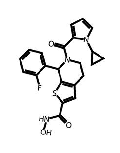 O=C(NO)c1cc2c(s1)C(c1ccccc1F)N(C(=O)c1cccn1C1CC1)CC2